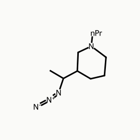 CCCN1CCCC(C(C)N=[N+]=[N-])C1